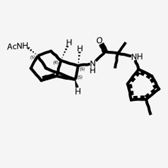 CC(=O)N[C@]12CC=C3[C@@H](C1)[C@@H](NC(=O)C(C)(C)Nc1ccc(C)cc1)[C@H]3C2